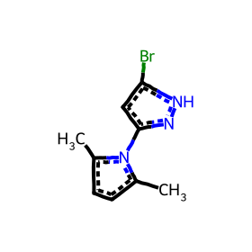 Cc1ccc(C)n1-c1cc(Br)[nH]n1